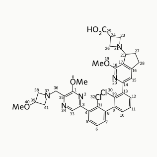 COc1nc(-c2cccc(-c3cccc(-c4cc5c(c(OC)n4)C(N4CC(C(=O)O)C4)CC5)c3Cl)c2Cl)cnc1CN1CC(OC)C1